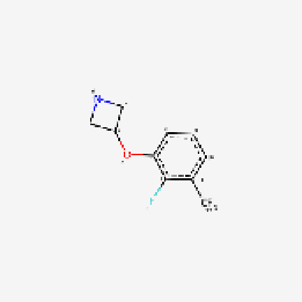 Fc1c(OC2C[N]C2)cccc1C(F)(F)F